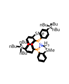 CCCC[Si](CCCC)(CCCC)c1ccc(P(c2ccccc2SC)N(C)P(c2ccc([Si](CCCC)(CCCC)CCCC)cc2)c2ccccc2SC)cc1